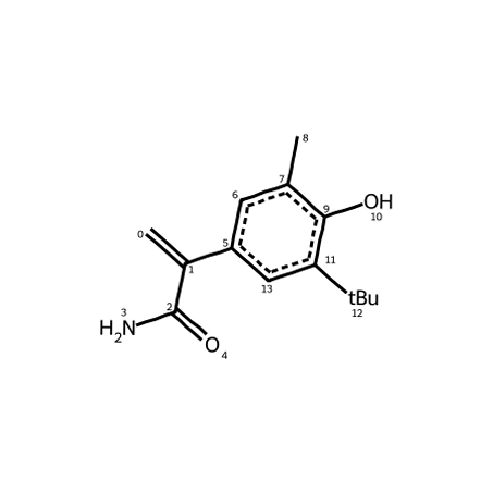 C=C(C(N)=O)c1cc(C)c(O)c(C(C)(C)C)c1